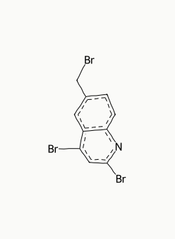 BrCc1ccc2nc(Br)cc(Br)c2c1